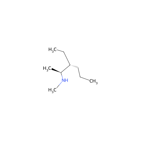 CCC[C@@H](CC)[C@H](C)NC